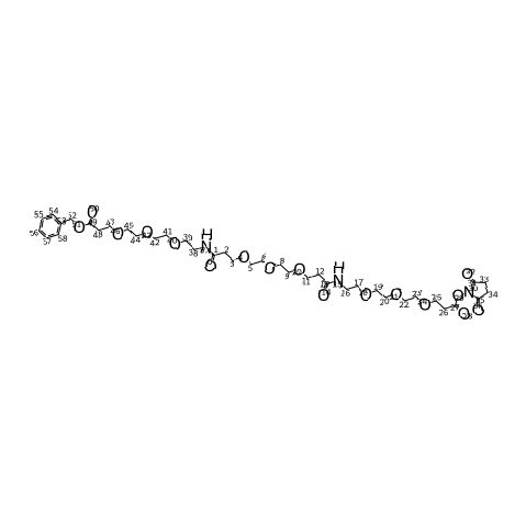 O=C(CCOCCOCCOCCC(=O)NCCOCCOCCOCCC(=O)ON1C(=O)CCC1=O)NCCOCCOCCOCCC(=O)OCc1ccccc1